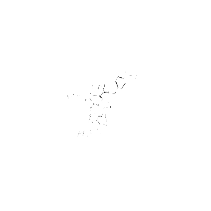 COc1ccc(C[C@@H](N)C(=O)N[C@H]2[C@@H](O)[C@H](n3cnc4c(N(C)C)ncnc43)O[C@@H]2CO)cc1